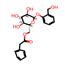 O=C(Cc1ccccc1)OC[C@H]1O[C@H](Oc2ccccc2CO)[C@H](O)[C@@H](O)[C@@H]1O